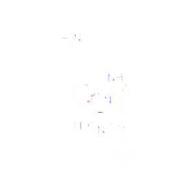 CN(Cc1ccccc1)C(=O)[C@@]1(Cc2ccccc2)OC(=O)N1C(=O)[C@@H](N)CCCCN